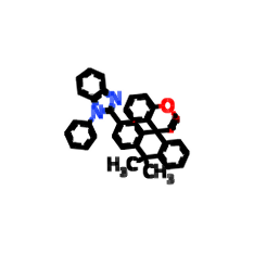 CC1(C)c2ccccc2C2(c3ccccc3Oc3ccccc32)c2cc(-c3nc4ccccc4n3-c3ccccc3)ccc21